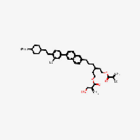 C=C(CC)C(=O)OCCC(CCCc1ccc2cc(-c3ccc(CCC4CCC(CCCCC)CC4)c(CC)c3)ccc2c1)CCOC(=O)C(=C)CO